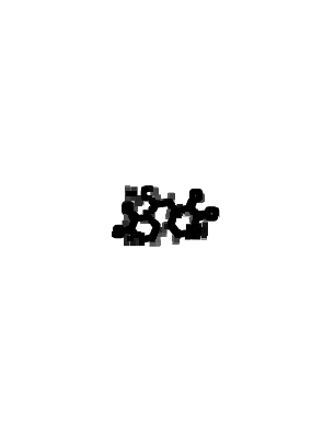 CC(CN1CCNC(=O)C1=O)N1CCNC(=O)C1=O